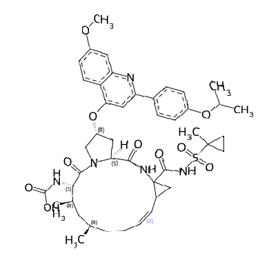 COc1ccc2c(O[C@@H]3C[C@H]4C(=O)NC5(C(=O)NS(=O)(=O)C6(C)CC6)CC5/C=C\CC[C@@H](C)C[C@@H](C)[C@H](NC(=O)O)C(=O)N4C3)cc(-c3ccc(OC(C)C)cc3)nc2c1